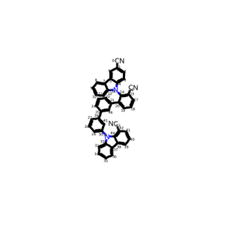 N#Cc1ccc2c(c1)c1ccccc1n2-c1c(C#N)cccc1-c1cccc(-c2cccc(-n3c4ccccc4c4cccc(C#N)c43)c2)c1